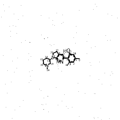 Cc1cc(C)c(-c2cc3c(nn2)N([C@@H]2CCCN(C)C2)CC3)c(O)c1